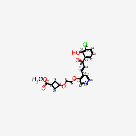 COC(=O)C1CC(OCCOc2cnccc2/C=C/C(=O)c2cccc(Cl)c2O)C1